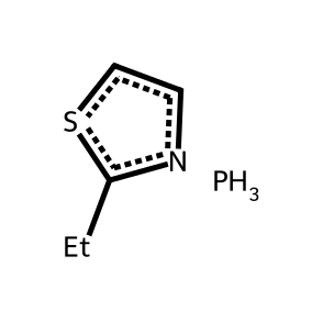 CCc1nccs1.P